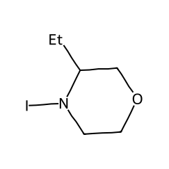 CCC1COCCN1I